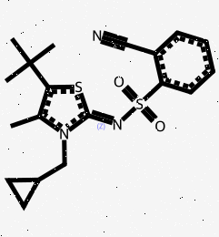 Cc1c(C(C)(C)C)s/c(=N\S(=O)(=O)c2ccccc2C#N)n1CC1CC1